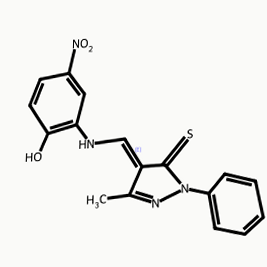 CC1=NN(c2ccccc2)C(=S)/C1=C/Nc1cc([N+](=O)[O-])ccc1O